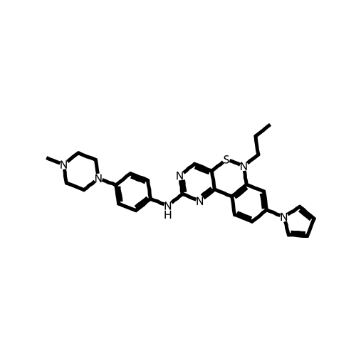 CCCN1Sc2cnc(Nc3ccc(N4CCN(C)CC4)cc3)nc2-c2ccc(-n3cccc3)cc21